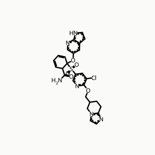 NC(=O)C1C=CC=CC1(Oc1cnc2[nH]ccc2c1)S(=O)(=O)c1cnc(OCC2CCc3nccn3C2)c(Cl)c1